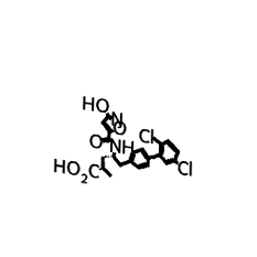 C[C@@H](C[C@@H](Cc1ccc(-c2cc(Cl)ccc2Cl)cc1)NC(=O)c1cc(O)no1)C(=O)O